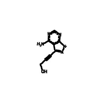 Nc1ncnc2c1C(C#CCO)=N[N]2